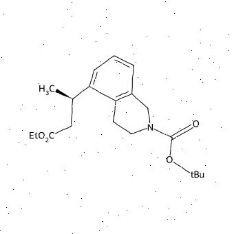 CCOC(=O)C[C@@H](C)c1cccc2c1CCN(C(=O)OC(C)(C)C)C2